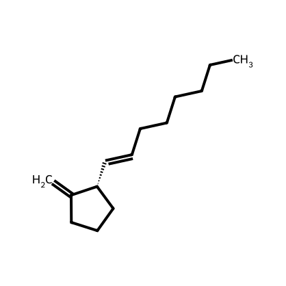 C=C1CCC[C@H]1/C=C/CCCCCC